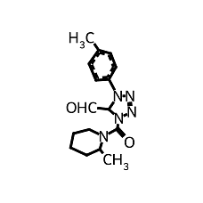 Cc1ccc(N2N=NN(C(=O)N3CCCCC3C)C2C=O)cc1